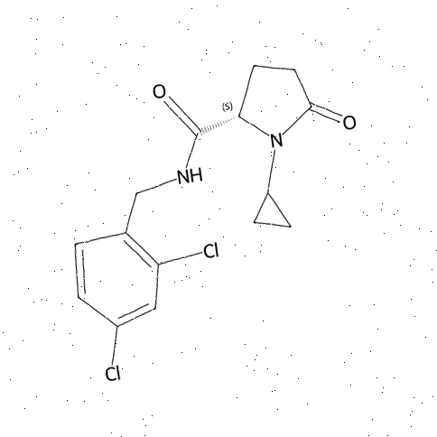 O=C(NCc1ccc(Cl)cc1Cl)[C@@H]1CCC(=O)N1C1CC1